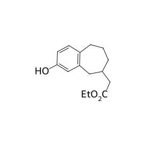 CCOC(=O)CC1CCCc2ccc(O)cc2C1